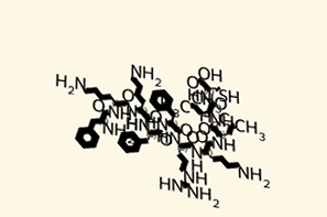 CC(C)C[C@H](NC(=O)[C@H](CC(C)C)NC(=O)[C@H](CCCCN)NC(=O)[C@H](CCCNC(=N)N)NC(=O)[C@H](Cc1ccccc1)NC(=O)[C@H](Cc1ccccc1)NC(=O)[C@H](CCCCN)NC(=O)[C@H](CCCCN)NC(=O)[C@@H](N)Cc1ccccc1)C(=O)N[C@@H](CS)C(=O)O